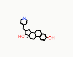 C[C@]12CCC3c4ccc(O)cc4CCC3C1CC(Cc1ccncc1)[C@@H]2O